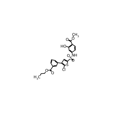 CCCOC(=O)c1cccc(-c2cc(S(=O)(=O)Nc3ccc(C(=O)OC)c(O)c3)sc2Cl)c1